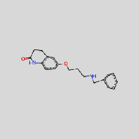 O=C1CCc2cc(OCCCNCc3ccccc3)ccc2N1